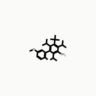 COc1ccc(C)c(-c2c(C(C)C)c(P)c(C(C)C)c(C(C)(C)C)c2C(C)C)c1